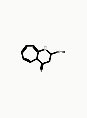 CCCCCC1CC(=O)C2C=CC=CC=C2N1